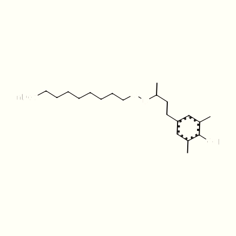 CCCCCCCCCCCCCCCCCCOOC(C)CCc1cc(C)c(O)c(C)c1